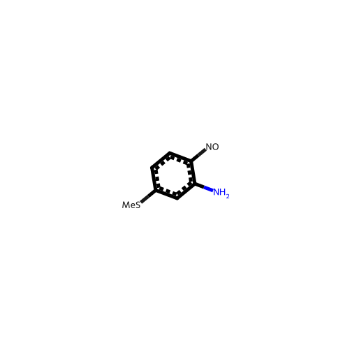 CSc1ccc(N=O)c(N)c1